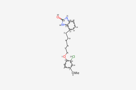 COc1ccc(OCCCCCCc2cccc3c2=NC(=O)N=3)c(Cl)c1